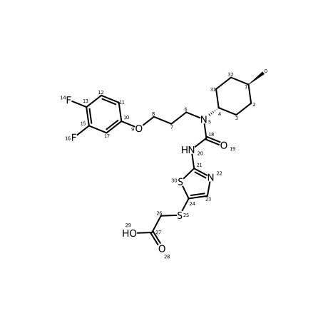 C[C@H]1CC[C@H](N(CCCOc2ccc(F)c(F)c2)C(=O)Nc2ncc(SCC(=O)O)s2)CC1